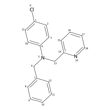 Clc1ccc(N(Cc2ccccc2)Cc2ccccn2)cc1